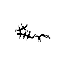 C=CC(=O)OCC(F)(F)C1(F)OC(F)(F)C(F)(F)C1(F)F